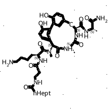 CCCCCCCC(=O)NCCC(=O)N[C@@H](CCCCN)C(=O)N(C)[C@@H]1C(=O)N[C@@H](C)C(=O)N[C@H](C(=O)N[C@@H](C)C(N)=O)Cc2ccc(O)c(c2)-c2cc1ccc2O